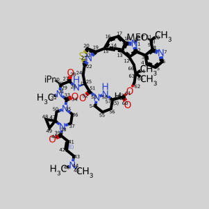 CCn1c(-c2cccnc2[C@H](C)OC)c2c3cc(ccc31)-c1csc(n1)C[C@H](NC(=O)[C@H](C(C)C)N(C)C(=O)N1CCN(C(=O)/C=C/CN(C)C)C3(CC3)C1)C(=O)N1CCC[C@H](N1)C(=O)OCC(C)(C)C2